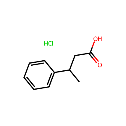 CC(CC(=O)O)c1ccccc1.Cl